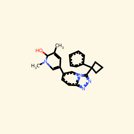 CC1=CC(c2ccc3nnc(C4(c5ccccc5)CCC4)n3c2)=CN(C)C1O